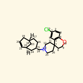 Clc1ccc2c(c1)C1(CCO2)CCN(C[C@@H]2CC[C@H]3CC=C[C@@H](C3)C2)CC1